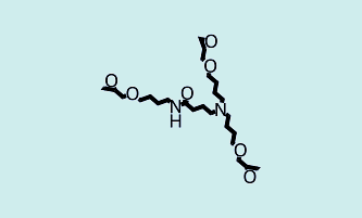 O=C(CCCN(CCCCOCC1CO1)CCCCOCC1CO1)NCCCCOCC1CO1